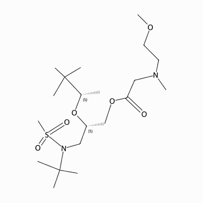 COCCN(C)CC(=O)OC[C@H](CN(C(C)(C)C)S(C)(=O)=O)O[C@@H](C)C(C)(C)C